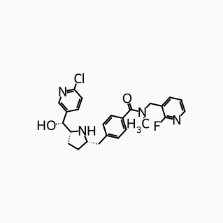 CN(Cc1cccnc1F)C(=O)c1ccc(C[C@@H]2CC[C@H]([C@H](O)c3ccc(Cl)nc3)N2)cc1